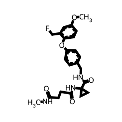 CNC(=O)CCC(=O)NC1(C(=O)NCc2ccc(Oc3ccc(OC)cc3CF)cc2)CC1